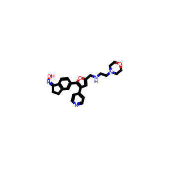 O/N=C1/CCc2cc(-c3oc(CNCCN4CCOCC4)cc3-c3ccncc3)ccc21